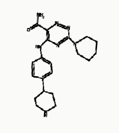 NC(=O)c1nnc(N2CCCCC2)nc1Nc1ccc(C2CCNCC2)cc1